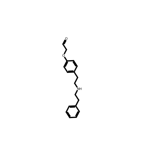 O=CCOc1ccc(CCNCCc2ccccc2)cc1